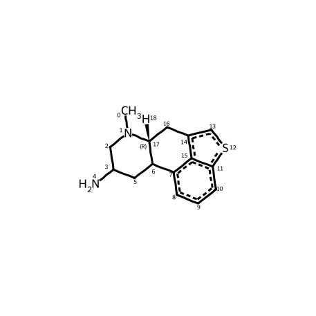 CN1CC(N)CC2c3cccc4scc(c34)C[C@H]21